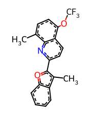 Cc1c(-c2ccc3c(OC(F)(F)F)ccc(C)c3n2)oc2ccccc12